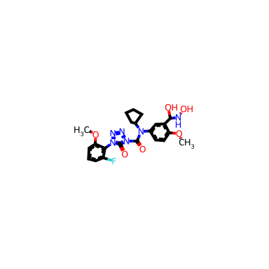 COc1ccc(N(C(=O)n2nnn(-c3c(F)cccc3OC)c2=O)C2CCCC2)cc1C(O)NO